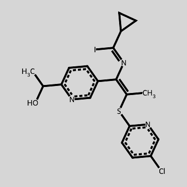 C/C(Sc1ccc(Cl)cn1)=C(\N=C(/I)C1CC1)c1ccc(C(C)O)nc1